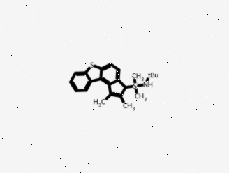 CC1=C(C)C([Si](C)(C)NC(C)(C)C)c2ccc3sc4ccccc4c3c21